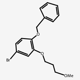 COCCCOc1cc(Br)ccc1OCc1ccccc1